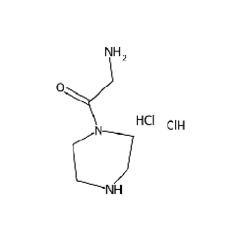 Cl.Cl.NCC(=O)N1CCNCC1